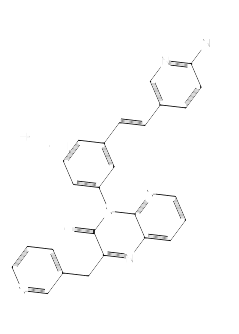 Cl.Cl.Nc1ccc(C=Cc2cccc(-n3c(=O)c(Cc4cccnc4)nc4cccnc43)c2)cn1